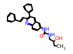 CCC(O)CNC(=O)Nc1ccc2nc(C=Cc3ccccc3)c(-c3ccccc3)cc2c1